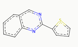 c1csc(-c2ncc3ccccc3n2)c1